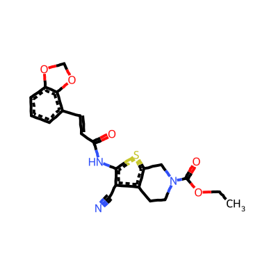 CCOC(=O)N1CCc2c(sc(NC(=O)/C=C/c3cccc4c3OCO4)c2C#N)C1